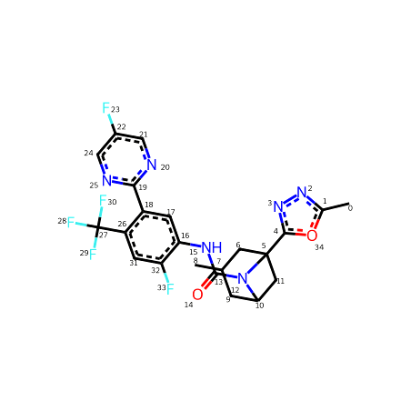 Cc1nnc(C23CC(C)CC(C2)N3C(=O)Nc2cc(-c3ncc(F)cn3)c(C(F)(F)F)cc2F)o1